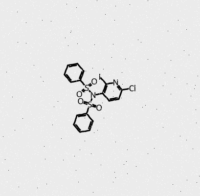 O=S(=O)(c1ccccc1)N(c1ccc(Cl)nc1I)S(=O)(=O)c1ccccc1